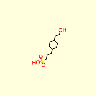 O=S(=O)(O)CCCC1CCC(CCO)CC1